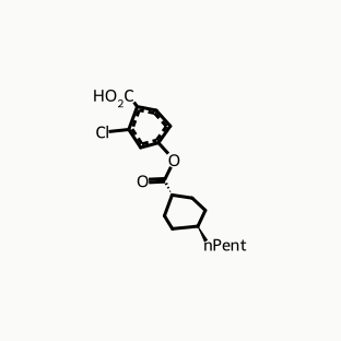 CCCCC[C@H]1CC[C@H](C(=O)Oc2ccc(C(=O)O)c(Cl)c2)CC1